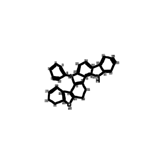 c1cccc(-n2c3c(c4c5[nH]c6cc#ccc6c5ccc42)CCc2oc4c(c2-3)C=CCC4)c#1